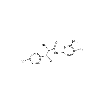 N#CC(C(=O)Nc1ccc(C(F)(F)F)c([N+](=O)[O-])c1)C(=O)c1ccc(C(F)(F)F)cc1